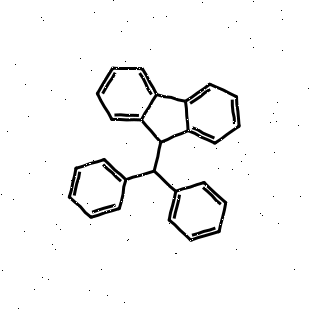 c1ccc(C([C]2c3ccccc3-c3ccccc32)c2ccccc2)cc1